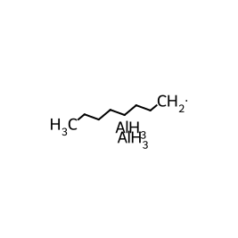 [AlH3].[AlH3].[CH2]CCCCCCC